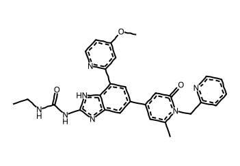 CCNC(=O)Nc1nc2cc(-c3cc(C)n(Cc4ccccn4)c(=O)c3)cc(-c3cc(OC)ccn3)c2[nH]1